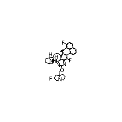 C#Cc1c(F)ccc2cccc(-c3nc4c5c(nc(OC[C@@]67CCCN6C[C@H](F)C7)nc5c3F)N3C[C@@]5(C)CC[C@H](N5)[C@H]3CC4)c12